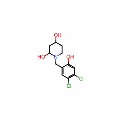 Oc1cc(Cl)c(Cl)cc1CN1CCC(O)CC1O